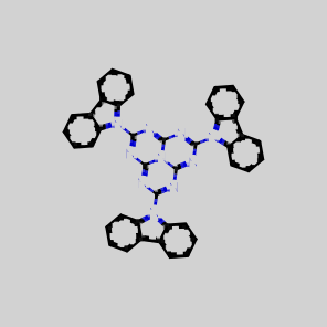 c1ccc2c(c1)c1ccccc1n2C1=NC2=NC(n3c4ccccc4c4ccccc43)=NC3=NC(n4c5ccccc5c5ccccc54)=NC(=N1)N23